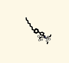 CCCCCCCCc1ccc(C2CC[C@@](/C=C/P(=O)(OCC)OCC)(NC(=O)O)C2)cc1